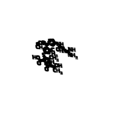 CCO.C[C@@H](O)[C@H]1C(=O)N2C(C(=O)O)=C(S[C@H]3C[C@@H](C(=O)N4CC[C@H](NC(=O)CNC(=N)N)C4)N(C)C3)[C@H](C)[C@H]12